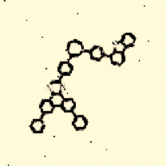 C1=CC(c2ccc(-c3cnc4c5ccc(-c6ccccc6)cc5c5cc(-c6ccccc6)ccc5c4n3)cc2)=CC(c2ccc(C3C=CC=C4c5ccccc5SC43)cc2)C=C1